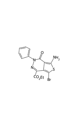 CCOC(=O)c1nn(-c2ccccc2)c(=O)c2c(N)sc(Br)c12